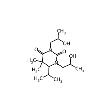 CC(O)CN1C(=O)N(CC(C)O)C(C(C)C)C(C)(C)C1=O